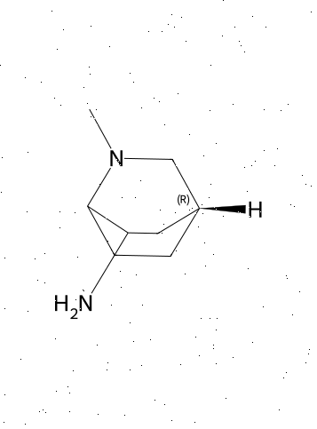 CN1C[C@@H]2CCC1C(N)C2